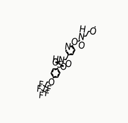 COCCNC(=O)Oc1ccc(C(=O)NS(=O)(=O)c2ccc(OCC(F)(F)C(F)(F)F)cc2)cn1